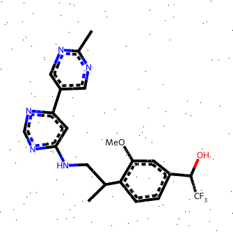 COc1cc(C(O)C(F)(F)F)ccc1C(C)CNc1cc(-c2cnc(C)nc2)ncn1